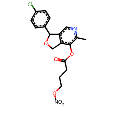 Cc1ncc2c(c1OC(=O)CCCO[N+](=O)[O-])COC2c1ccc(Cl)cc1